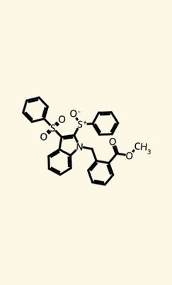 COC(=O)c1ccccc1Cn1c([S+]([O-])c2ccccc2)c(S(=O)(=O)c2ccccc2)c2ccccc21